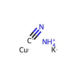 [C-]#N.[Cu].[K].[NH4+]